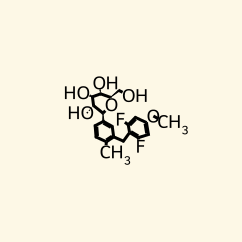 COc1cc(F)c(Cc2cc([C@@H]3O[C@H](CO)[C@@H](O)[C@H](O)[C@H]3O)ccc2C)c(F)c1